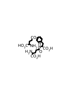 NC(CCC(=O)NC(Cc1ccccc1)C(=O)O)C(=O)O.NC(CCC(=O)O)C(=O)O